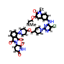 CCn1c(=O)c(OCCNC)cc2cc(Nc3nc(N4CCC(COC5CCN(c6cccc7c6C(=O)N(C6CCC(=O)NC6=O)C7=O)CC5)CC4)ncc3Cl)ccc21